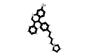 Oc1ccc2c(c1)OCC(c1ccccc1)C2c1ccc(CCCCN2CCCC2)cc1